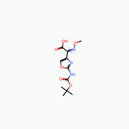 CO/N=C(\C(=O)O)c1coc(NC(=O)OC(C)(C)C)n1